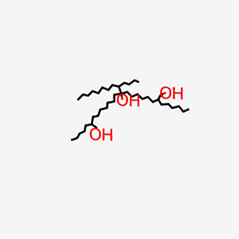 CCCCCCCCC(CCCC)C(O)(CCCCCCCC(CO)CCCCC)CCCCCCC(CO)CCCCCC